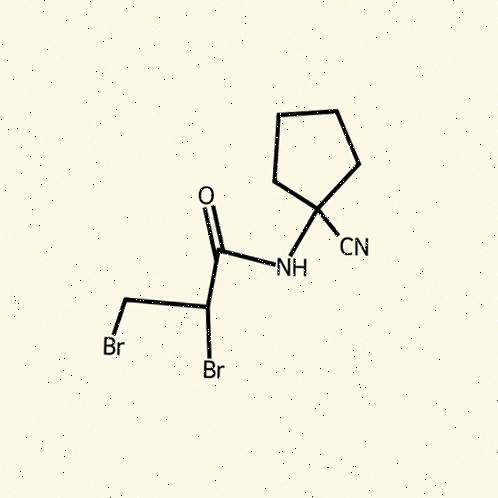 N#CC1(NC(=O)C(Br)CBr)CCCC1